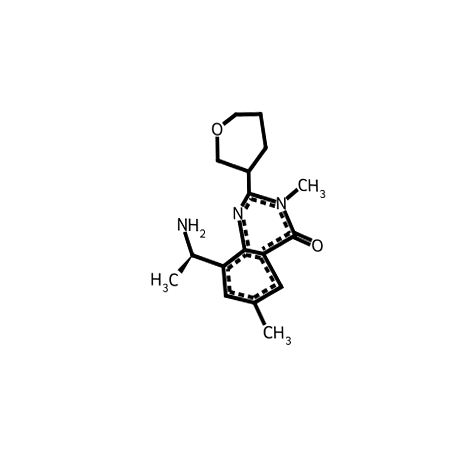 Cc1cc([C@@H](C)N)c2nc(C3CCCOC3)n(C)c(=O)c2c1